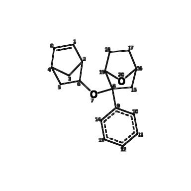 C1=CC2CC1CC2OC1(c2ccccc2)CC2CCC1O2